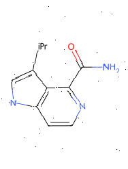 CC(C)C1=C[N]c2ccnc(C(N)=O)c21